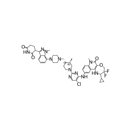 C[C@H]1CN(c2ncc(Cl)c(Nc3ccc4c(c3)c3c(c(=O)n4C)OCC(F)(F)C(C4CC4)N3)n2)CC[C@@H]1CN1CCN(c2cccc3c(C4CCC(=O)NC4=O)nn(C)c23)CC1